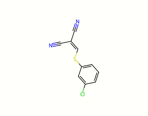 N#CC(C#N)=CSc1cccc(Cl)c1